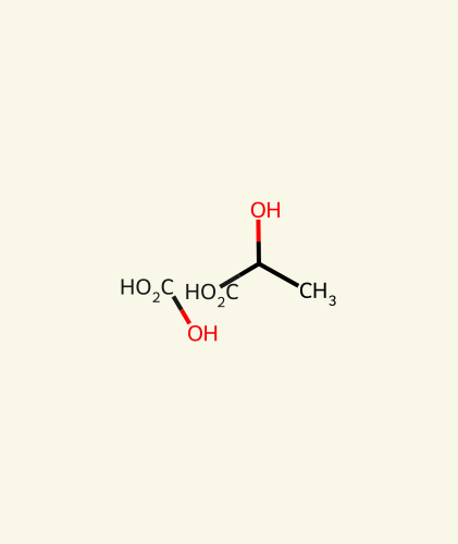 CC(O)C(=O)O.O=C(O)O